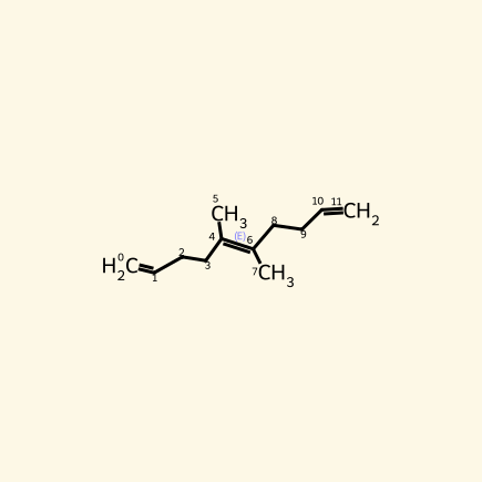 C=CCC/C(C)=C(\C)CCC=C